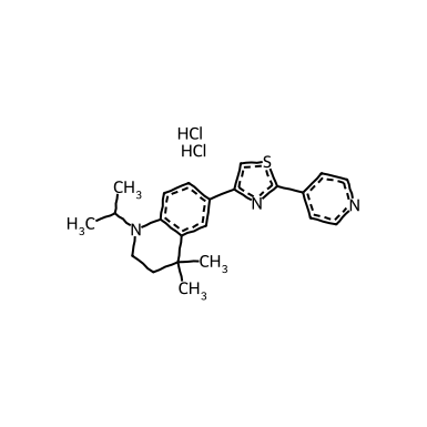 CC(C)N1CCC(C)(C)c2cc(-c3csc(-c4ccncc4)n3)ccc21.Cl.Cl